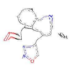 O=Cc1cccc2nccc(-c3conn3)c12.[KH]